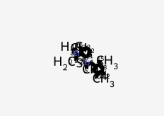 C=C(S/C=C(\C)Cc1cc(C)c(I)cc1C)/C(=C/C)c1ccccc1C